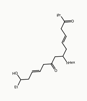 CCCCCCC(C/C=C/CC(=O)C(C)C)CC(=O)C/C=C/CC(O)CC